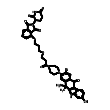 CCc1cc2c(cc1N1CCN(C(=O)CCOCCCSc3cccc4c3C(=O)N(C3CCC(=O)NC3=O)C4=O)CC1)C(C)(C)c1[nH]c3cc(C#N)ccc3c1C2=O